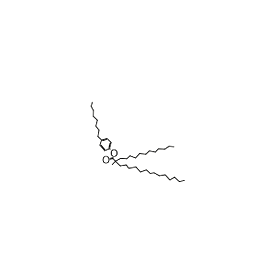 CCCCCCCCCCCCCCC(C)(CCCCCCCCCCCC)C(=O)Oc1ccc(CCCCCCCC)cc1